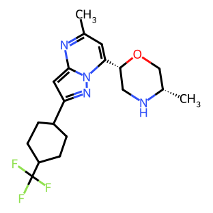 Cc1cc([C@H]2CN[C@@H](C)CO2)n2nc(C3CCC(C(F)(F)F)CC3)cc2n1